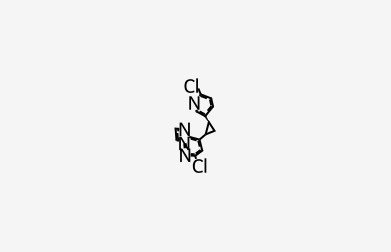 Clc1ccc([C@H]2CC2c2cc(Cl)nn3ccnc23)cn1